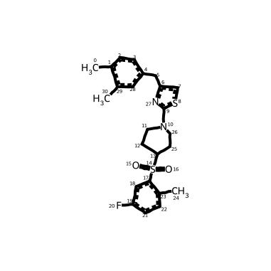 Cc1ccc(Cc2csc(N3CCC(S(=O)(=O)c4cc(F)ccc4C)CC3)n2)cc1C